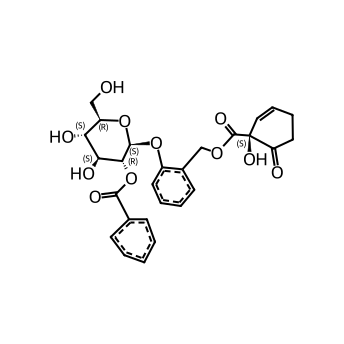 O=C(O[C@H]1[C@H](Oc2ccccc2COC(=O)[C@]2(O)C=CCCC2=O)O[C@H](CO)[C@@H](O)[C@@H]1O)c1ccccc1